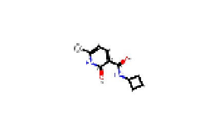 O=C(NC1CCC1)c1ccc(C(F)(F)F)[nH]c1=O